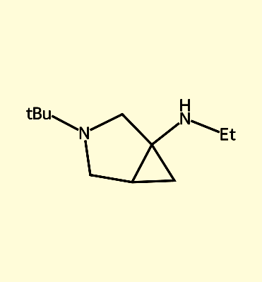 CCNC12CC1CN(C(C)(C)C)C2